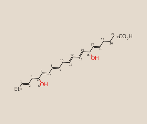 CCC=CC[C@H](O)C=CC=CCC=CC=C[C@@H](O)C=CCCCC(=O)O